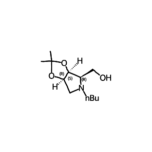 CCCCN1C[C@H]2OC(C)(C)O[C@H]2[C@H]1CO